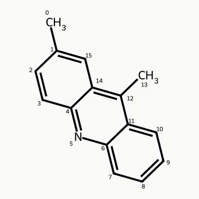 Cc1ccc2nc3ccccc3c(C)c2c1